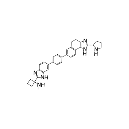 CNC1(c2nc3ccc(-c4ccc(-c5ccc6c(c5)CCc5nc([C@@H]7CCCN7)[nH]c5-6)cc4)cc3[nH]2)CCC1